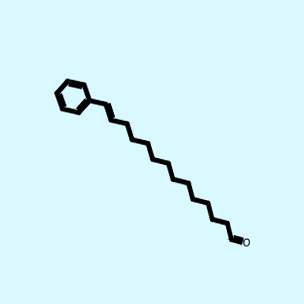 O=[C]CCCCCCCCCCC/C=C/c1ccccc1